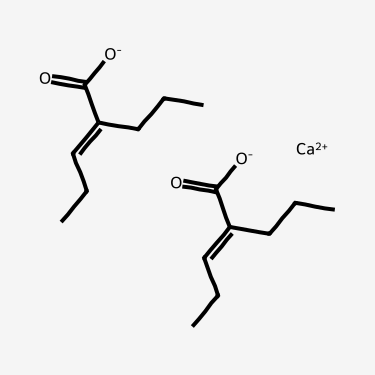 CC/C=C(\CCC)C(=O)[O-].CC/C=C(\CCC)C(=O)[O-].[Ca+2]